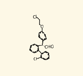 O=C[C@@H](c1ccc(OCCCl)cc1)c1ccccc1-c1ccccc1Cl